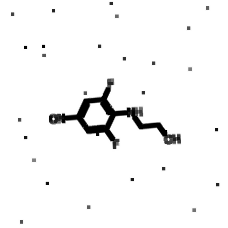 O=Nc1cc(F)c(NCCO)c(F)c1